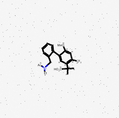 CCN(Cc1ccccc1-c1cc(C(C)(C)C(=O)O)c(C(F)(F)F)cc1OC)C(C)=O